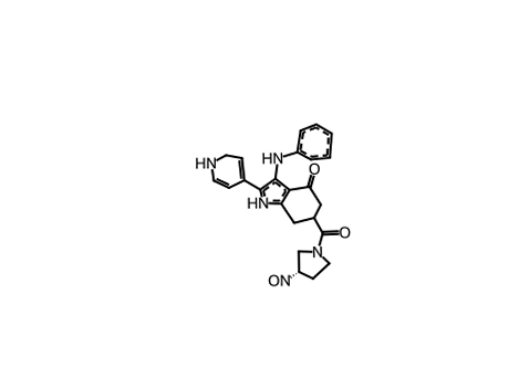 O=N[C@H]1CCN(C(=O)C2CC(=O)c3c([nH]c(C4=CCNC=C4)c3Nc3ccccc3)C2)C1